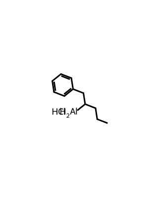 CCC[CH]([AlH2])Cc1ccccc1.Cl